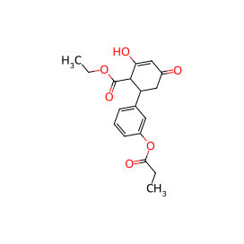 CCOC(=O)C1C(O)=CC(=O)CC1c1cccc(OC(=O)CC)c1